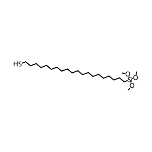 CO[Si](CCCCCCCCCCCCCCCCCCCCS)(OC)OC